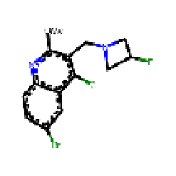 COc1nc2ccc(Br)cc2c(Cl)c1CN1CC(F)C1